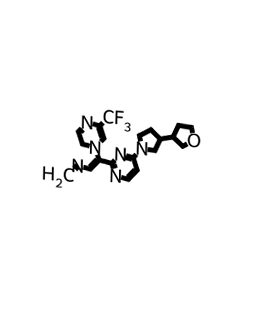 C=N/C=C(/c1nccc(N2CCC(C3CCOC3)C2)n1)N1C=C(C(F)(F)F)N=CC1